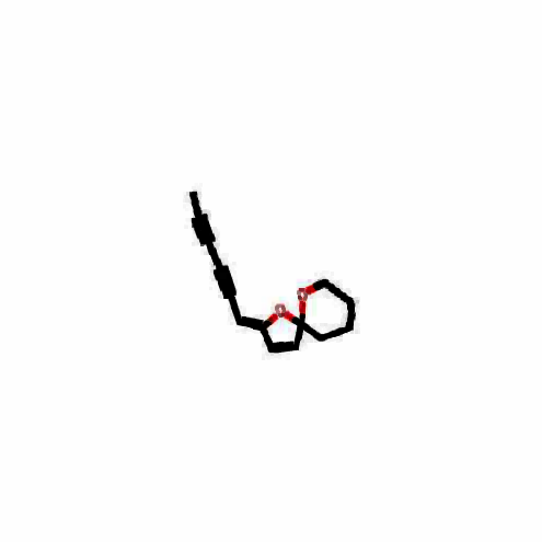 CC#CC#CC=C1C=CC2(CCCCO2)O1